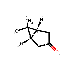 CC1(C)[C@@H]2CC(=O)C[C@@H]21